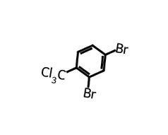 ClC(Cl)(Cl)c1ccc(Br)cc1Br